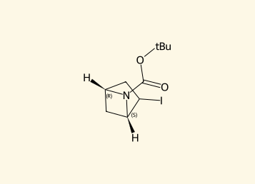 CC(C)(C)OC(=O)N1[C@H]2CC(I)[C@@H]1C2